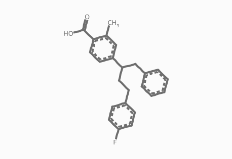 Cc1cc(C(CCc2ccc(F)cc2)Cc2ccccc2)ccc1C(=O)O